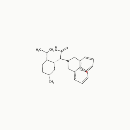 CC(C)C1CC[C@@H](C)C[C@H]1C(C(=O)O)N(Cc1ccccc1)Cc1ccccc1